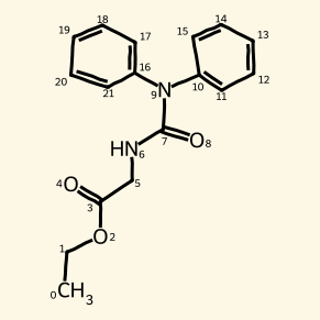 CCOC(=O)CNC(=O)N(c1ccccc1)c1ccccc1